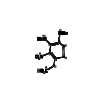 COc1ccc(CC(=O)O)c([N+](=O)[O-])c1OC